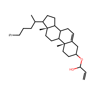 C=CC(O)OC1CC[C@@]2(C)C(=CCC3C4CCC(C(C)CCCC(C)C)[C@@]4(C)CCC32)C1